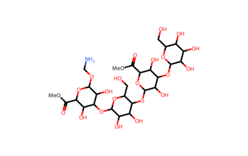 COC(=O)C1OC(OC2C(CO)OC(OC3C(O)C(OCN)OC(C(=O)OC)C3O)C(O)C2O)C(O)C(OC2OC(CO)C(O)C(O)C2O)C1O